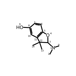 CN(C)C1Oc2ccc(O)cc2C1(C)C